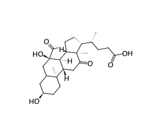 CC(=O)[C@@]1(O)CC2C[C@H](O)CC[C@]2(C)[C@H]2CC(=O)[C@]3(C)[C@@H]([C@H](C)CCC(=O)O)CC[C@H]3[C@@H]21